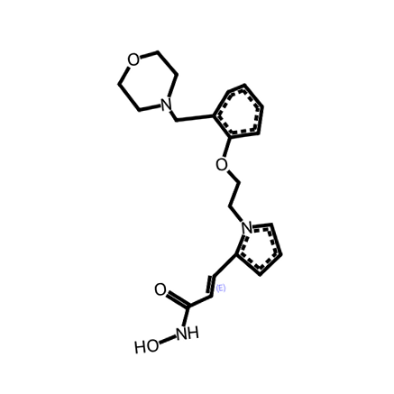 O=C(/C=C/c1cccn1CCOc1ccccc1CN1CCOCC1)NO